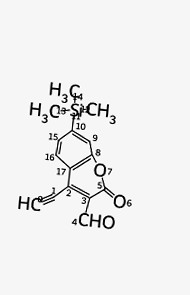 C#Cc1c(C=O)c(=O)oc2cc([Si](C)(C)C)ccc12